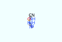 N#Cc1ccc(NC(=O)CSc2nc3ccc(-c4ncccn4)cc3[nH]2)cc1